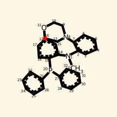 CN(c1ccccc1N1CCOCC1)c1ccccc1P(c1ccccc1)c1ccccc1